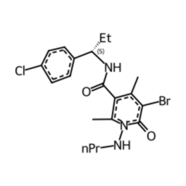 CCCNn1c(C)c(C(=O)N[C@@H](CC)c2ccc(Cl)cc2)c(C)c(Br)c1=O